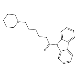 O=C(CCCCCN1CCCCC1)n1c2ccccc2c2ccccc21